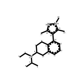 CCN(C(C)C)C1CCc2c(cccc2-c2c(C)nn(C)c2C)C1